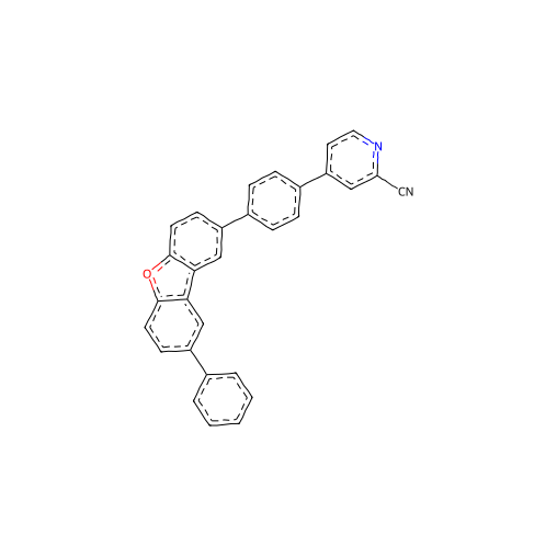 N#Cc1cc(-c2ccc(-c3ccc4oc5ccc(-c6ccccc6)cc5c4c3)cc2)ccn1